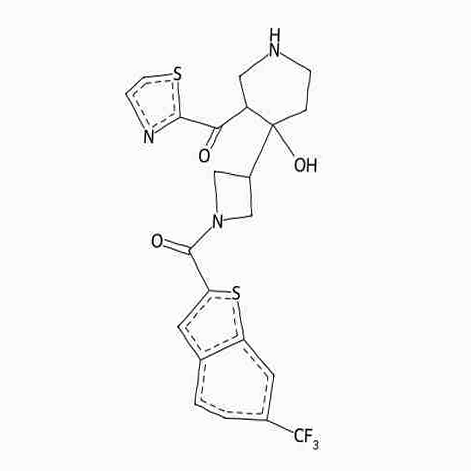 O=C(c1nccs1)C1CNCCC1(O)C1CN(C(=O)c2cc3ccc(C(F)(F)F)cc3s2)C1